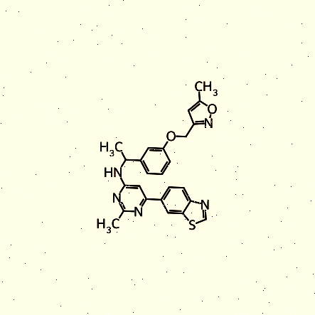 Cc1nc(NC(C)c2cccc(OCc3cc(C)on3)c2)cc(-c2ccc3ncsc3c2)n1